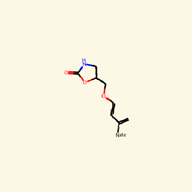 C=C(/C=C/OCC1CNC(=O)O1)NC